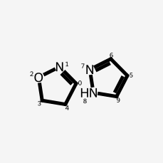 C1=NOCC1.c1cn[nH]c1